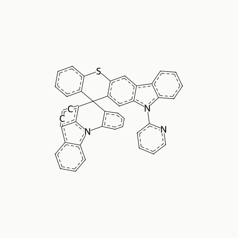 c1ccc(-n2c3ccccc3c3cc4c(cc32)C2(c3ccccc3S4)c3ccccc3-n3c4ccccc4c4cccc2c43)nc1